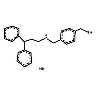 Br.SCc1ccc(CPCCC(c2ccccc2)c2ccccc2)cc1